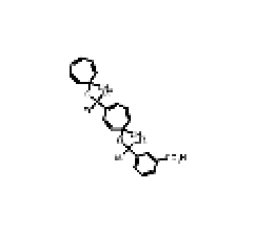 CCC(CC)(OC1(C)C=CC=CC=C1)C1=CC=CC(C)(OC(C)(CC)c2cccc(C(=O)O)c2)C=C1